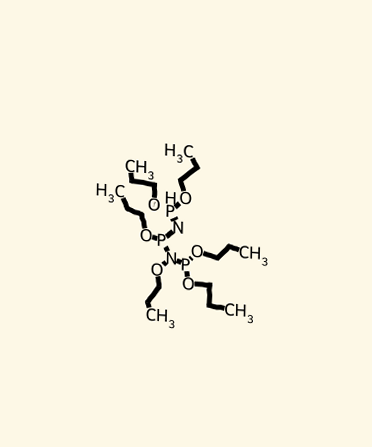 CCCON(P(N=[PH](OCCC)OCCC)OCCC)P(OCCC)OCCC